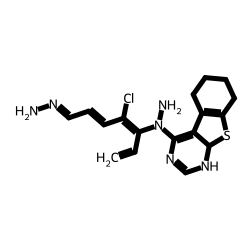 C=C/C(=C(Cl)\C=C\C=NN)N(N)C1=C2C3=C(CCCC3)SC2NC=N1